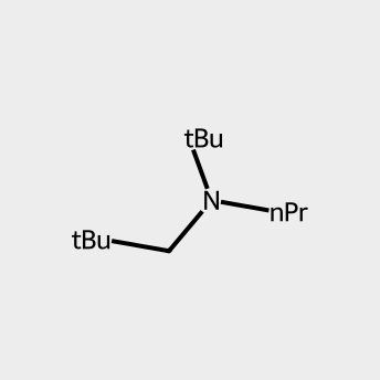 CCCN(CC(C)(C)C)C(C)(C)C